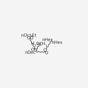 CCCCCCCCCCC(CCCCCC(=O)OCCCCCCC(CCCCCC)CCCCCC)N(CCCN(C)C)C(=O)CCCCCCC(=O)OC(CC)CCCCCCCC